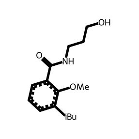 CCC(C)c1cccc(C(=O)NCCCO)c1OC